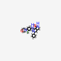 O=c1[nH]ccc2cc(-c3ccccc3)nc(Nc3ccc(N4CCOCC4)c(F)c3)c12